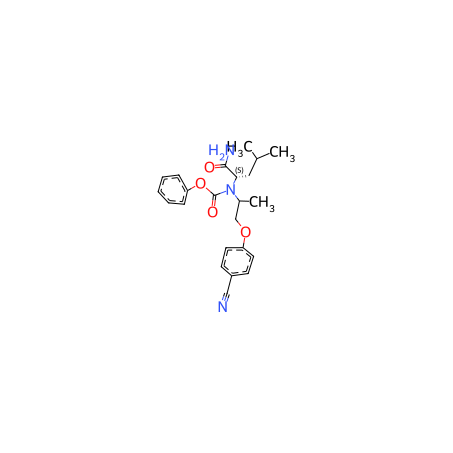 CC(C)C[C@@H](C(N)=O)N(C(=O)Oc1ccccc1)C(C)COc1ccc(C#N)cc1